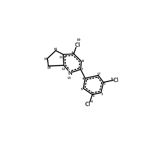 Clc1cc(Cl)cc(-c2cc(Cl)c3c(n2)CCC3)c1